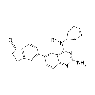 Nc1nc(N(Br)c2ccccc2)c2cc(-c3ccc4c(c3)CCC4=O)ccc2n1